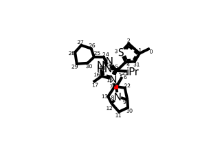 Cc1csc([C@H](CCN2C3CCC2CC(n2c(C)nnc2C(C)C)C3)NCC2CCCCC2)c1